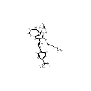 CCCCCCc1cc2c(cc1C=Cc1ccc(C(=O)O)cc1)CCCCC2(C)C